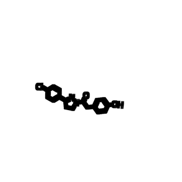 O=C(Cc1ccc(O)cc1)N1CCC(c2ccc(Cl)cc2)=N1